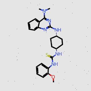 COc1ccccc1NC(=S)N[C@H]1CC[C@@H](Nc2nc(N(C)C)c3ccccc3n2)CC1